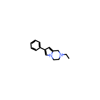 CCN1CCn2cc(-c3ccccc3)cc2C1